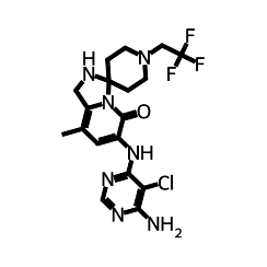 Cc1cc(Nc2ncnc(N)c2Cl)c(=O)n2c1CNC21CCN(CC(F)(F)F)CC1